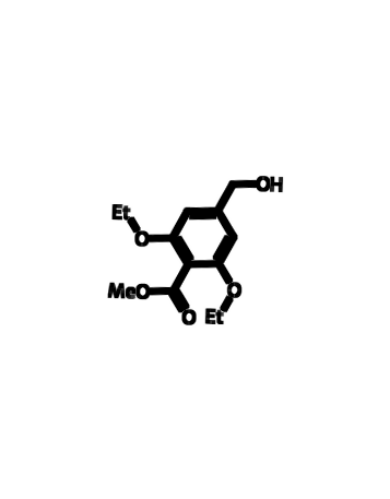 CCOc1cc(CO)cc(OCC)c1C(=O)OC